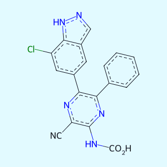 N#Cc1nc(-c2cc(Cl)c3[nH]ncc3c2)c(-c2ccccc2)nc1NC(=O)O